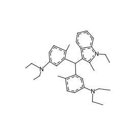 CCN(CC)c1ccc(C)c(C(c2cc(N(CC)CC)ccc2C)c2c(C)n(CC)c3ccccc23)c1